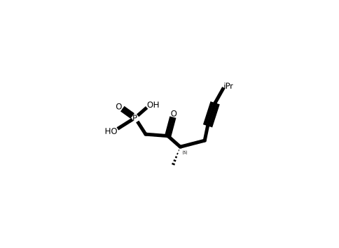 CC(C)C#CC[C@H](C)C(=O)CP(=O)(O)O